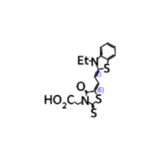 CCN1/C(=C/C=C2/SC(=S)N(CC(=O)O)C2=O)Sc2ccccc21